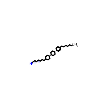 CCCCCCCc1ccc([C@H]2CC[C@H](C3CCC(CC/C=C/C=C/C#N)CC3)CC2)cc1